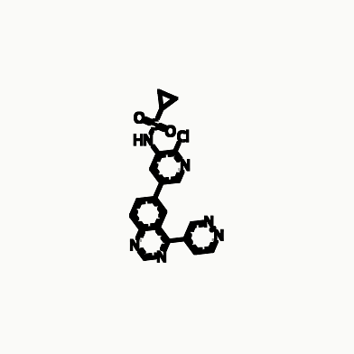 O=S(=O)(Nc1cc(-c2ccc3ncnc(-c4ccnnc4)c3c2)cnc1Cl)C1CC1